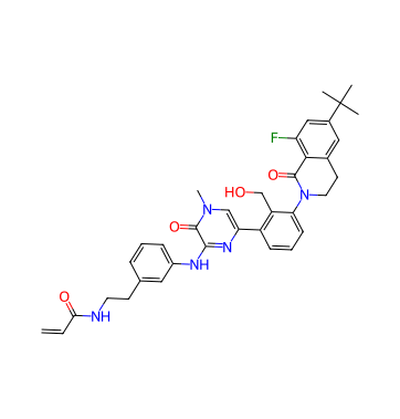 C=CC(=O)NCCc1cccc(Nc2nc(-c3cccc(N4CCc5cc(C(C)(C)C)cc(F)c5C4=O)c3CO)cn(C)c2=O)c1